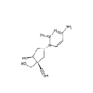 C#C[C@]1(CO)C[C@@H](n2ccc(N)nc2=O)C[C@@H]1O